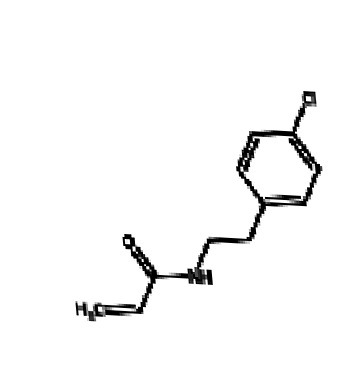 C=CC(=O)NCCc1ccc(Cl)cc1